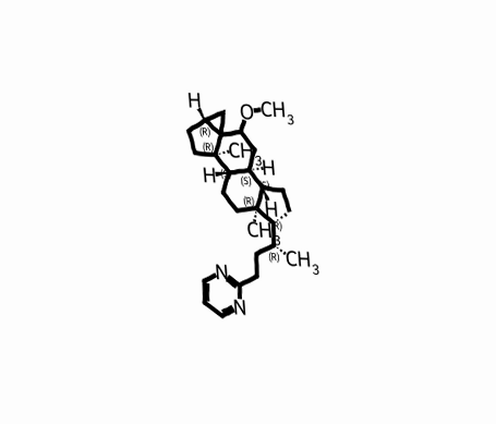 COC1C[C@H]2[C@@H]3CC[C@H]([C@H](C)CCc4ncccn4)[C@@]3(C)CC[C@@H]2[C@@]2(C)CC[C@@H]3CC132